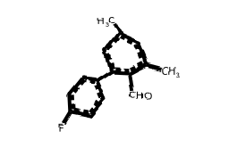 Cc1cc(C)c(C=O)c(-c2ccc(F)cc2)c1